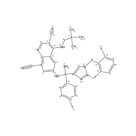 BC(Nc1cc(C#N)c2ncc(C#N)c(NCC(C)(C)C)c2c1)(c1ccc(F)cc1)c1cn(Cc2c(F)cccc2F)nn1